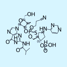 CC(C)C(=O)Nc1nc2c(ncn2[C@@H]2O[C@H](CO)[C@@H](C)[C@H]2OP(=S)(OCCC#N)OC[C@H]2C[C@@H](Nc3ccncn3)C[C@@H]2O[PH](=O)O)c(=O)[nH]1